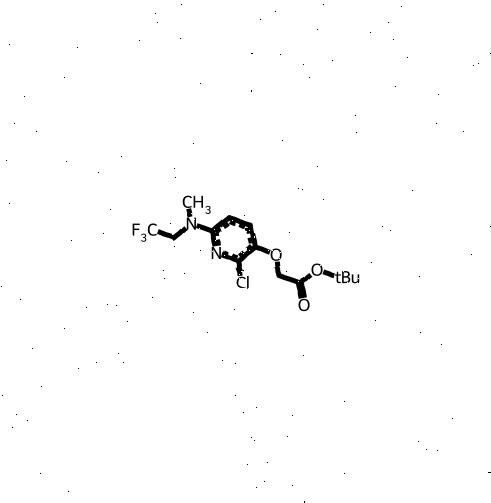 CN(CC(F)(F)F)c1ccc(OCC(=O)OC(C)(C)C)c(Cl)n1